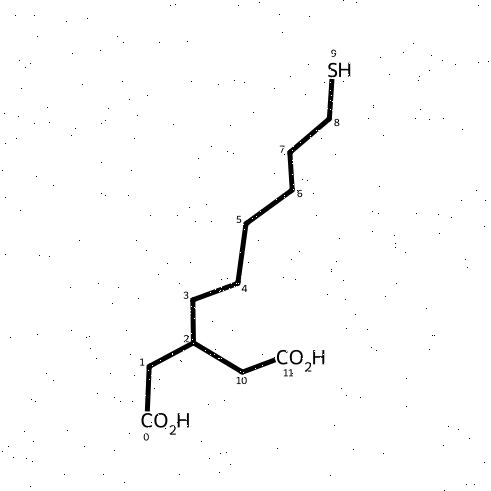 O=C(O)CC(CCCCCCS)CC(=O)O